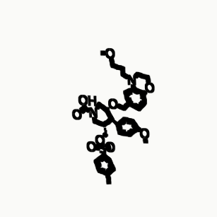 COCCCN1CCOc2ccc(CO[C@H]3CN(C(=O)O)C[C@@H](COS(=O)(=O)c4ccc(C)cc4)[C@@H]3c3ccc(OC)cc3)cc21